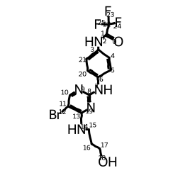 O=C(Nc1ccc(Nc2ncc(Br)c(NCCCO)n2)cc1)C(F)(F)F